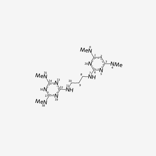 CNc1cc(NC)nc(NCCCNc2nc(NC)nc(NC)n2)n1